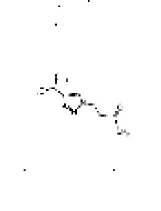 CC(=O)CCn1cc(C(C)C)cn1